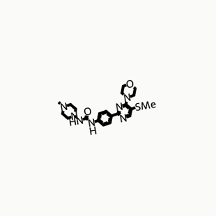 CSc1cnc(-c2ccc(NC(=O)NN3CCN(C)CC3)cc2)nc1N1CCOCC1